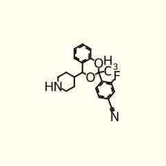 CC1(c2ccc(C#N)cc2F)Oc2ccccc2C(C2CCNCC2)O1